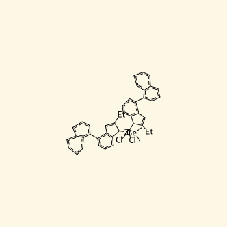 CCC1=Cc2c(-c3cccc4ccccc34)cccc2[CH]1[Zr]([Cl])([Cl])([CH]1C(CC)=Cc2c(-c3cccc4ccccc34)cccc21)=[Ge]([CH3])[CH3]